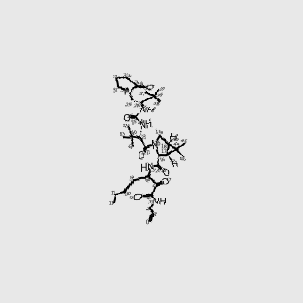 C=CCNC(=O)C(=O)C(CCCC)NC(=O)[C@@H]1[C@@H]2[C@H](CN1C(=O)[C@@H](NC(=O)N[C@H](CN1CCCC1=O)C(C)(C)C)C(C)(C)C)C2(C)C